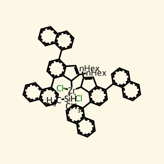 CCCCCCC1=Cc2c(-c3cccc4ccccc34)ccc(-c3cccc4ccccc34)c2[CH]1[Zr]([Cl])([Cl])([CH]1C(CCCCCC)=Cc2c(-c3cccc4ccccc34)ccc(-c3cccc4ccccc34)c21)[SiH](C)C